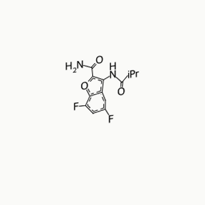 CC(C)C(=O)Nc1c(C(N)=O)oc2c(F)cc(F)cc12